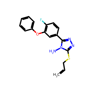 C=CCSc1nnc(-c2ccc(F)c(Oc3ccccc3)c2)n1N